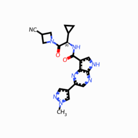 Cn1cc(-c2cnc3[nH]cc(C(=O)N[C@@H](C(=O)N4CC(C#N)C4)C4CC4)c3n2)cn1